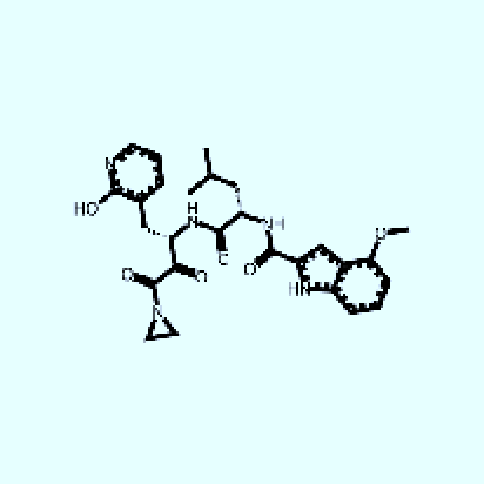 COc1cccc2[nH]c(C(=O)N[C@@H](CC(C)C)C(=O)N[C@@H](Cc3cccnc3O)C(=O)C(=O)N3CC3)cc12